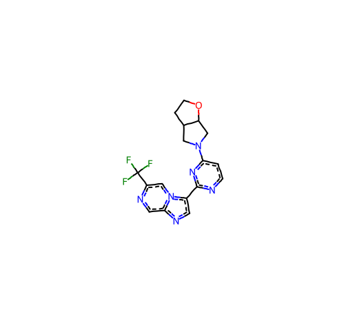 FC(F)(F)c1cn2c(-c3nccc(N4CC5CCOC5C4)n3)cnc2cn1